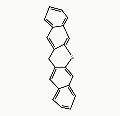 c1ccc2cc3c(cc2c1)Cc1cc2ccccc2cc1S3